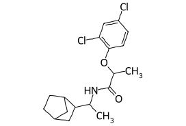 CC(Oc1ccc(Cl)cc1Cl)C(=O)NC(C)C1CC2CCC1C2